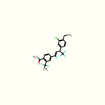 CCc1ccc(C(/C=C(\F)c2ccc(C(C)=O)c(C(C)(F)F)c2)C(F)(F)F)cc1Cl